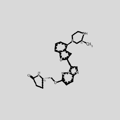 C[C@H]1CN(c2cccc3oc(-c4cnc5ccc(OC[C@@H]6CCC(=O)N6)nn45)cc23)CCN1